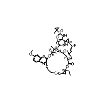 CC[C@@]12CC1CCCCCc1nc3ccc(OC)cc3nc1O[C@H]1CN(C(=O)[C@H](C(C)(C)C)NC(=O)O2)[C@H](C(=O)N[C@]2(C(=O)NS(=O)(=O)C3(C)CC3)C[C@H]2C(F)F)[C@@H]1C